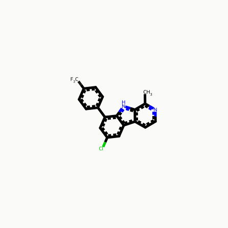 Cc1nccc2c1[nH]c1c(-c3ccc(C(F)(F)F)cc3)cc(Cl)cc12